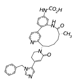 C[C@@H]1CCC[C@H](N2CCC(c3cncn3Cc3ccccc3)=CC2=O)c2cc(ccn2)-c2ccc(NC(=O)O)cc2NC1=O